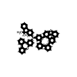 CC1(C)c2ccccc2-c2ccc(N(c3ccc4c(c3)-c3ccccc3-c3ccccc3O4)c3ccc4c(c3)c3ccccc3c3ccccc3c3ccccc3c3c4ccc4sc5ccccc5c43)cc21